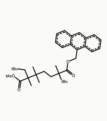 COC(=O)C(C)(CC(C)(C)C)C(C)(C)CCC(C)(C(=O)OCc1c2ccccc2cc2ccccc12)C(C)(C)C